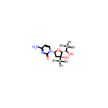 CC(C)[Si](C(C)C)(C(C)C)C(O)[C@H]1O[C@@H](n2ccc(N)nc2=O)C[C@@]1(O)[Si](C(C)C)(C(C)C)C(C)C